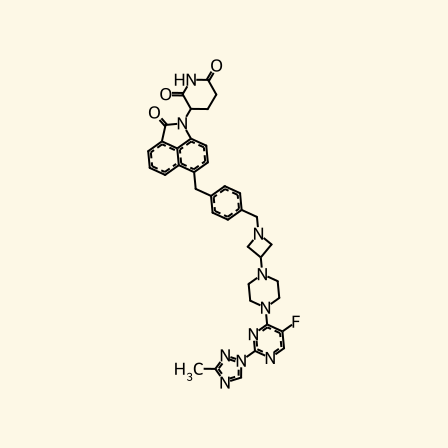 Cc1ncn(-c2ncc(F)c(N3CCN(C4CN(Cc5ccc(Cc6ccc7c8c(cccc68)C(=O)N7C6CCC(=O)NC6=O)cc5)C4)CC3)n2)n1